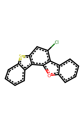 Clc1cc2sc3ccccc3c2c2oc3ccccc3c12